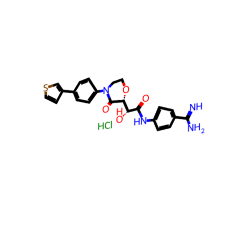 Cl.N=C(N)c1ccc(NC(=O)[C@H](O)[C@H]2OCCN(c3ccc(-c4ccsc4)cc3)C2=O)cc1